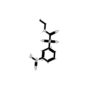 CCOC(=O)S(=O)(=O)c1cccc([N+](=O)[O-])c1